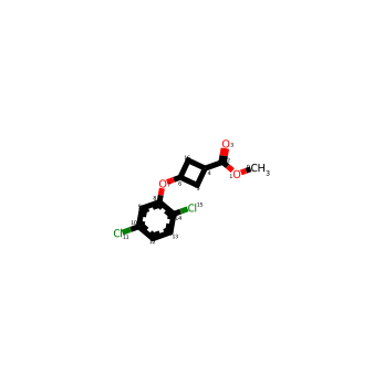 COC(=O)C1CC(Oc2cc(Cl)ccc2Cl)C1